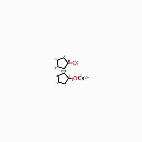 [Ca+2].[O-]C1CCCC1.[O-]C1CCCC1